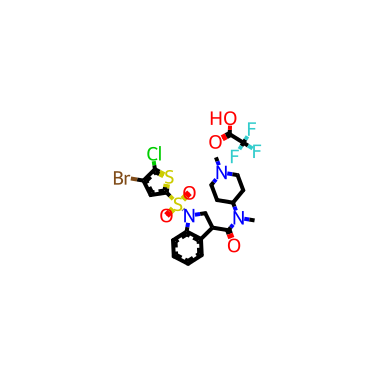 CN1CCC(N(C)C(=O)C2CN(S(=O)(=O)c3cc(Br)c(Cl)s3)c3ccccc32)CC1.O=C(O)C(F)(F)F